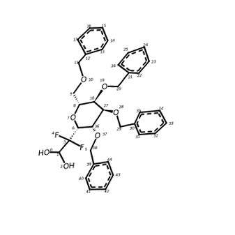 OC(O)C(F)(F)[C@@H]1O[C@H](COCc2ccccc2)[C@@H](OCc2ccccc2)[C@@H](OCc2ccccc2)[C@@H]1OCc1ccccc1